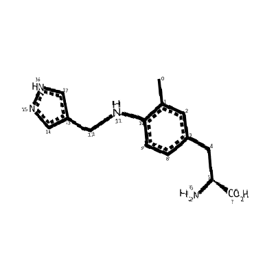 Cc1cc(C[C@H](N)C(=O)O)ccc1NCc1cn[nH]c1